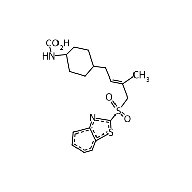 CC(=CCC1CCC(NC(=O)O)CC1)CS(=O)(=O)c1nc2ccccc2s1